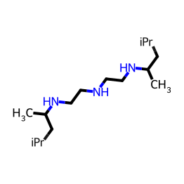 CC(C)CC(C)NCCNCCNC(C)CC(C)C